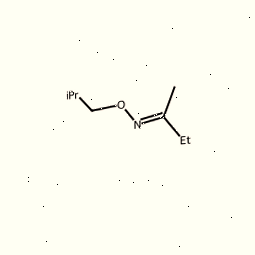 [CH2]CC(C)=NOCC(C)C